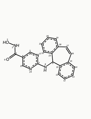 O=C(NO)c1cnc(NC2c3ccccc3C=Cc3ccccc32)nc1